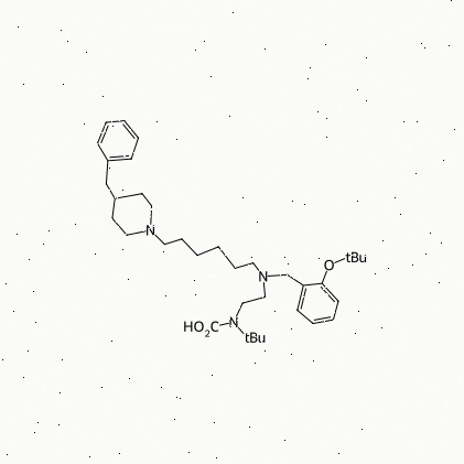 CC(C)(C)Oc1ccccc1CN(CCCCCCN1CCC(Cc2ccccc2)CC1)CCN(C(=O)O)C(C)(C)C